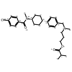 CC(C)C(=O)OCCCN(C)Cc1ccc([C@H]2CC[C@H](N(C)C(=O)c3ccc(Cl)cc3)CC2)cc1